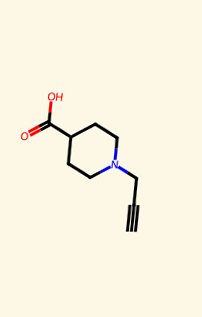 C#CCN1CCC(C(=O)O)CC1